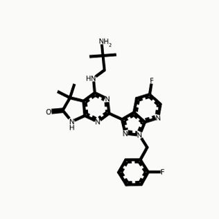 CC(C)(N)CNc1nc(-c2nn(Cc3ccccc3F)c3ncc(F)cc23)nc2c1C(C)(C)C(=O)N2